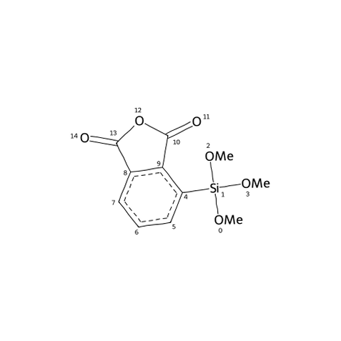 CO[Si](OC)(OC)c1cccc2c1C(=O)OC2=O